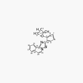 CC(C)(C)Oc1ccccc1-c1nc2c3ccccc3ccn2n1